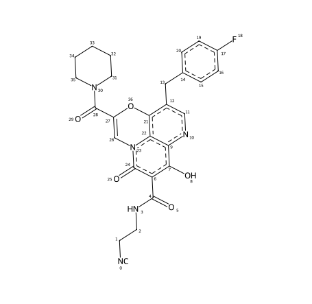 [C-]#[N+]CCNC(=O)c1c(O)c2ncc(Cc3ccc(F)cc3)c3c2n(c1=O)C=C(C(=O)N1CCCCC1)O3